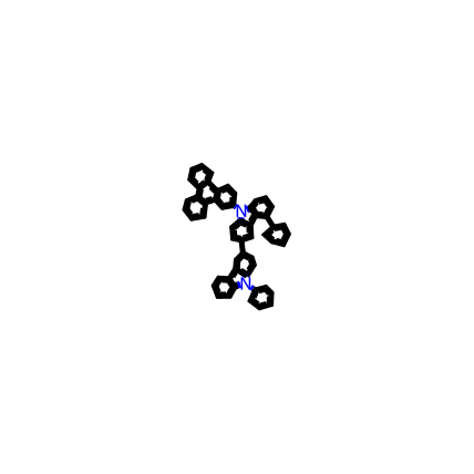 c1ccc(-c2cccc3c2c2cc(-c4ccc5c(c4)c4ccccc4n5-c4ccccc4)ccc2n3-c2ccc3c4ccccc4c4ccccc4c3c2)cc1